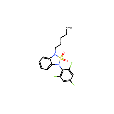 CNCCCCN1c2ccccc2N(c2c(F)cc(F)cc2F)S1(=O)=O